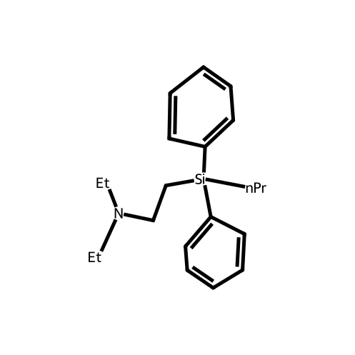 CCC[Si](CCN(CC)CC)(c1ccccc1)c1ccccc1